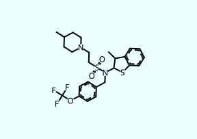 CC1CCN(CCS(=O)(=O)N(Cc2ccc(OC(F)(F)F)cc2)C2Sc3ccccc3C2C)CC1